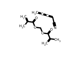 C=C(C)C(=O)OCOC(=O)C(=C)C.C=C=C=CC#N